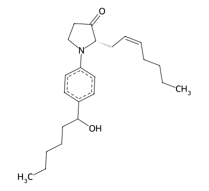 CCCC/C=C\C[C@H]1C(=O)CCN1c1ccc(C(O)CCCCC)cc1